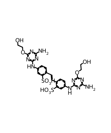 Nc1nc(Nc2ccc(C=Cc3ccc(Nc4nc(N)nc(OCCO)n4)cc3S(=O)(=O)O)c(S(=O)(=O)O)c2)nc(OCCO)n1